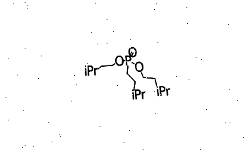 CC(C)CCOP(=O)(CCC(C)C)OCCC(C)C